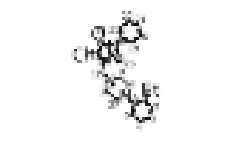 CCc1ccccc1N1CCN(Cc2c(Cl)c(=O)n(-c3ccccc3)n2C)CC1